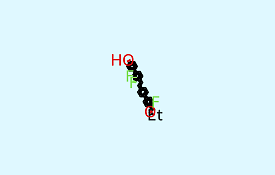 CCOCc1ccc(C2=CCC(CCc3ccc(-c4ccc(O)cc4)c(F)c3F)CC2)cc1F